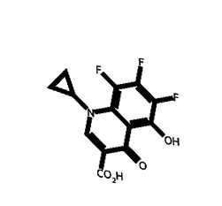 O=C(O)c1cn(C2CC2)c2c(F)c(F)c(F)c(O)c2c1=O